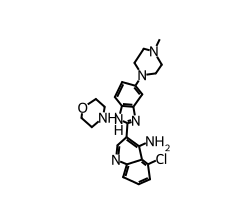 C1COCCN1.CN1CCN(c2ccc3[nH]c(-c4cnc5cccc(Cl)c5c4N)nc3c2)CC1